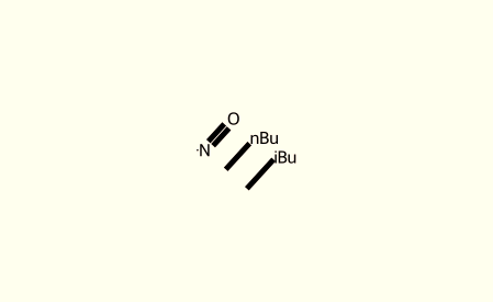 CCC(C)C.CCCCC.[N]=O